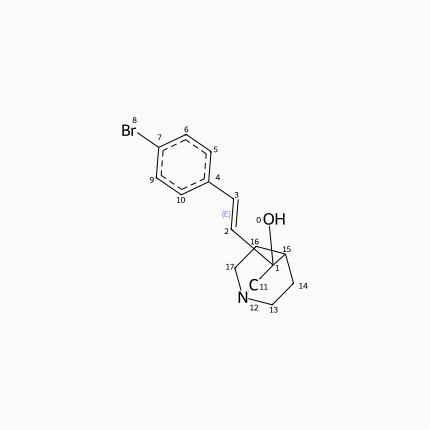 OC1(/C=C/c2ccc(Br)cc2)CN2CCC1CC2